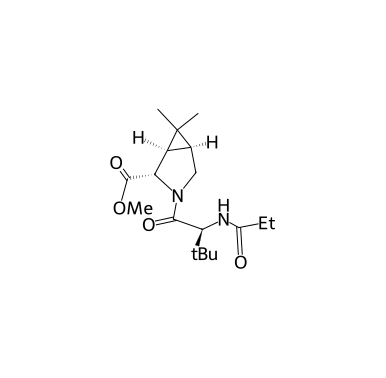 CCC(=O)N[C@H](C(=O)N1C[C@H]2[C@@H]([C@H]1C(=O)OC)C2(C)C)C(C)(C)C